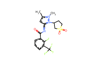 Cc1c/c(=N\C(=O)c2cccc(C(F)(F)F)c2F)n(C2CCS(=O)(=O)C2)n1C